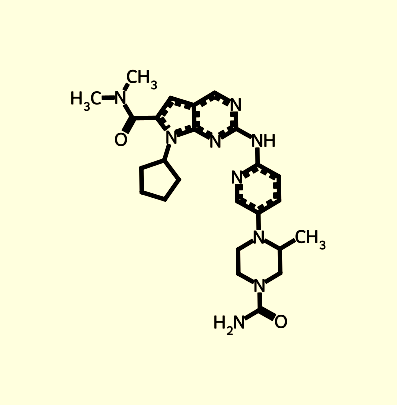 CC1CN(C(N)=O)CCN1c1ccc(Nc2ncc3cc(C(=O)N(C)C)n(C4CCCC4)c3n2)nc1